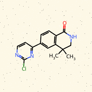 CC1(C)CNC(=O)c2ccc(-c3ccnc(Cl)n3)cc21